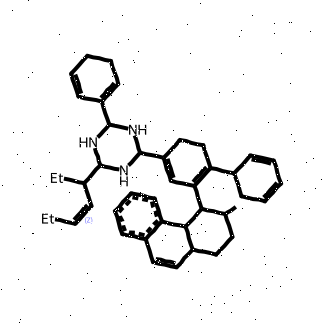 CC/C=C\C(CC)C1NC(C2=CCCC=C2)NC(C2=CC(C3C(C)CCC4C=Cc5ccccc5C43)=C(C3C=CC=CC3)CC2)N1